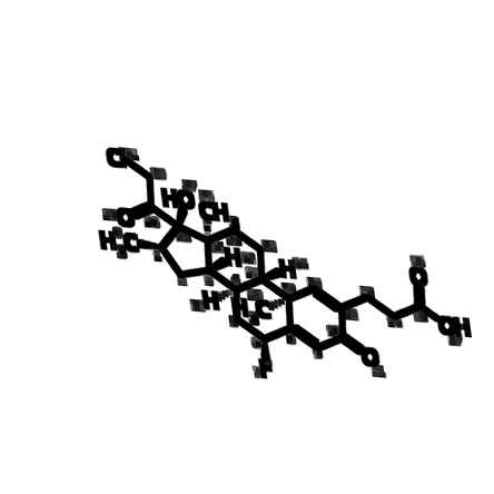 C[C@@H]1C[C@H]2[C@@H]3C[C@H](F)C4=CC(=O)C(CCC(=O)O)=C[C@]4(C)[C@H]3CC[C@]2(C)[C@@]1(O)C(=O)CCl